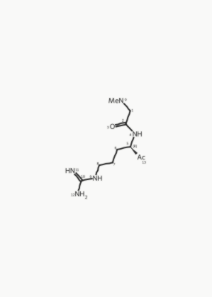 CNCC(=O)N[C@H](CCCNC(=N)N)C(C)=O